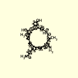 Cc1sc2nc1C(=O)NC(=O)c1nc(cs1)C(=O)N[C@@H](Cc1ccc(O)cc1)C(=O)N1C[C@H](O)[C@H](C)[C@H]1c1nc(cs1)-c1nc(cs1)-c1nc(-c3nc(C(N)=O)cs3)ccc1-c1nc(cs1)C(=O)N[C@H]2CC(N)=O